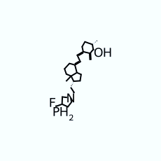 C=C1/C(=C\C=C2/CCCC3(C)C2CC[C@@H]3CCN2CCC(C(F)P)C2)CC[C@H](C)C1O